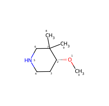 CO[C@@H]1CCNCC1(C)C